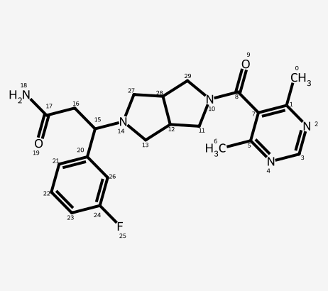 Cc1ncnc(C)c1C(=O)N1CC2CN(C(CC(N)=O)c3cccc(F)c3)CC2C1